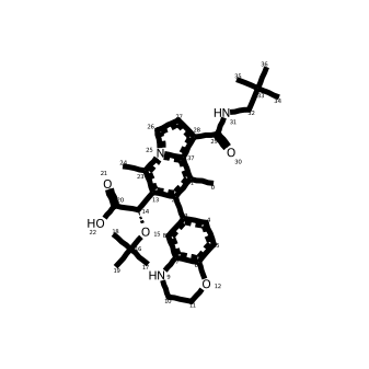 Cc1c(-c2ccc3c(c2)NCCO3)c([C@H](OC(C)(C)C)C(=O)O)c(C)n2ccc(C(=O)NCC(C)(C)C)c12